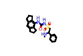 CNC(CS(=O)(=O)NC(=O)Nc1c2c(cc3c1CCC3)CCC2)c1ccccc1